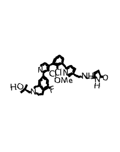 COc1nc(-c2cccc(-c3ccnc(-c4cc(F)c5c(c4)CN(CC(C)(C)O)CC5)c3Cl)c2Cl)ccc1CNC[C@H]1CCC(=O)N1